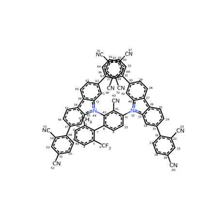 Cc1cccc(C(F)(F)F)c1-c1ccc(-n2c3cc(-c4ccc(C#N)cc4C#N)ccc3c3ccc(-c4ccc(C#N)cc4C#N)cc32)c(C#N)c1-n1c2cc(-c3ccc(C#N)cc3C#N)ccc2c2ccc(-c3ccc(C#N)cc3C#N)cc21